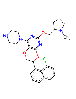 CN1CCC[C@H]1COc1nc2c(c(N3CCNCC3)n1)OCC(c1cccc3cccc(Cl)c13)O2